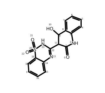 O=C1Nc2ccccc2C(O)C1C1=Nc2ccccc2S(=O)(=O)N1